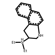 CC[SiH](CC)C1CNc2ccc3ccccc3c2C1